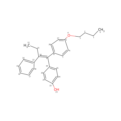 CCCCOc1ccc(/C(=C(\CC)c2ccccc2)c2ccc(O)cc2)cc1